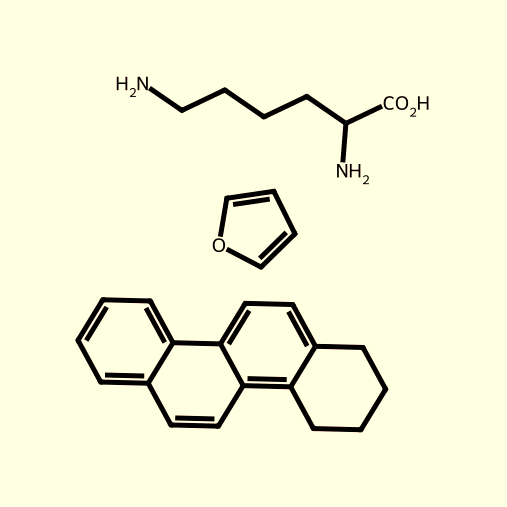 NCCCCC(N)C(=O)O.c1ccc2c(c1)ccc1c3c(ccc12)CCCC3.c1ccoc1